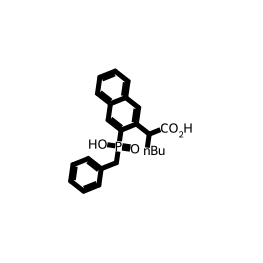 CCCCC(C(=O)O)c1cc2ccccc2cc1P(=O)(O)Cc1ccccc1